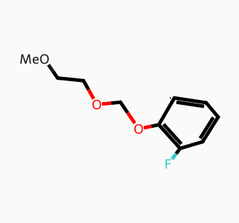 COCCOCOc1[c]cccc1F